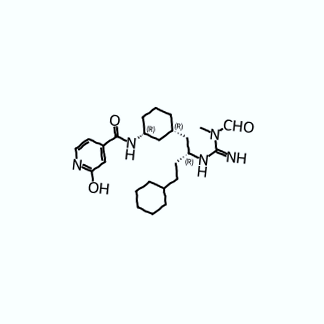 CN(C=O)C(=N)N[C@H](CCC1CCCCC1)C[C@H]1CCC[C@@H](NC(=O)c2ccnc(O)c2)C1